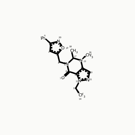 CC(C)c1cc(CN2C(=O)c3c(cnn3CC(F)(F)F)N(C)C2C)on1